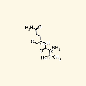 C[C@H](O)[C@@H](N)C(=O)N[C@H]([C]=O)CCC(N)=O